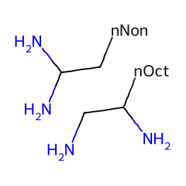 CCCCCCCCC(N)CN.CCCCCCCCCCC(N)N